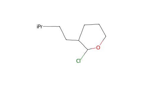 CC(C)CCC1CCCOC1Cl